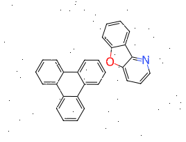 c1ccc2c(c1)c1ccccc1c1ccccc21.c1ccc2c(c1)oc1cccnc12